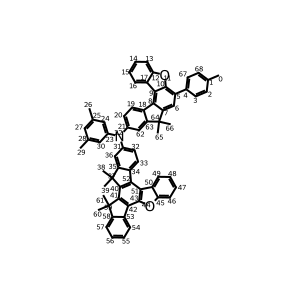 Cc1ccc(-c2cc3c(c4c2oc2ccccc24)-c2ccc(N(c4cc(C)cc(C)c4)c4ccc5c(c4)C(C)(C)c4c6c(c7oc8ccccc8c7c4-5)-c4ccccc4C6(C)C)cc2C3(C)C)cc1